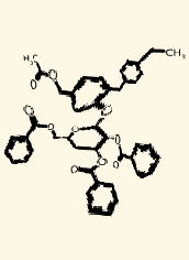 CCc1ccc(Cc2ccc(COC(C)=O)cc2O[C@@H]2O[C@H](COC(=O)c3ccccc3)C[C@H](OC(=O)c3ccccc3)[C@H]2OC(=O)c2ccccc2)cc1